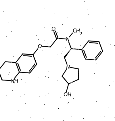 CN(C(=O)COc1ccc2c(c1)CCCN2)[C@H](CN1CCC(O)C1)c1ccccc1